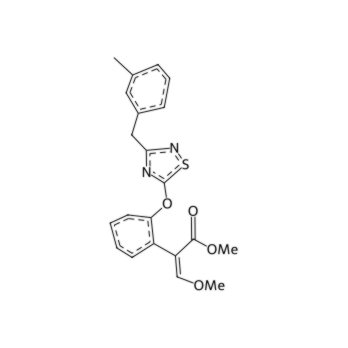 COC=C(C(=O)OC)c1ccccc1Oc1nc(Cc2cccc(C)c2)ns1